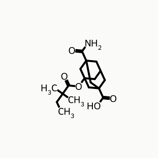 CCC(C)(C)C(=O)OC12CC3CC(C(N)=O)(C1)CC(C(=O)O)(C3)C2